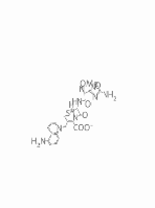 CON=C(C(=O)NC1C(=O)N2C(C(=O)[O-])=C(C[n+]3cccc4c(N)cccc43)CS[C@@H]12)c1noc(N)n1